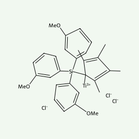 COc1cccc([Si](c2cccc(OC)c2)(c2cccc(OC)c2)[C]2([Ti+3])C(C)=C(C)C(C)=C2C)c1.[Cl-].[Cl-].[Cl-]